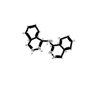 c1ccc2c(Nc3nncc4ccccc34)nncc2c1